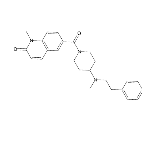 CN(CCc1ccccc1)C1CCN(C(=O)c2ccc3c(ccc(=O)n3C)c2)CC1